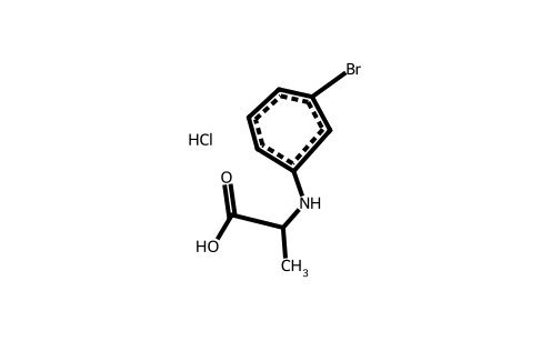 CC(Nc1cccc(Br)c1)C(=O)O.Cl